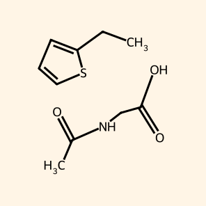 CC(=O)NCC(=O)O.CCc1cccs1